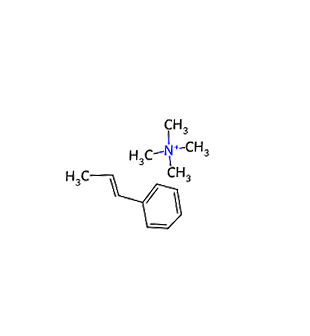 CC=Cc1ccccc1.C[N+](C)(C)C